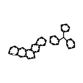 c1ccc(C(c2ccccc2)c2ccccc2)cc1.c1ccc2cc3c(ccc4cc5ccccc5cc43)cc2c1